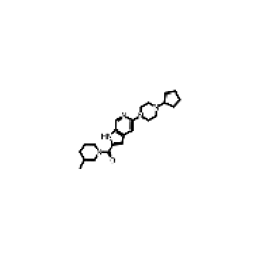 CC1CCCN(C(=O)c2cc3cc(N4CCN(C5CCCC5)CC4)ncc3[nH]2)C1